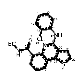 CCNC(=O)c1cccc2c1nc(Nc1ccccc1Cl)c1ccsc12